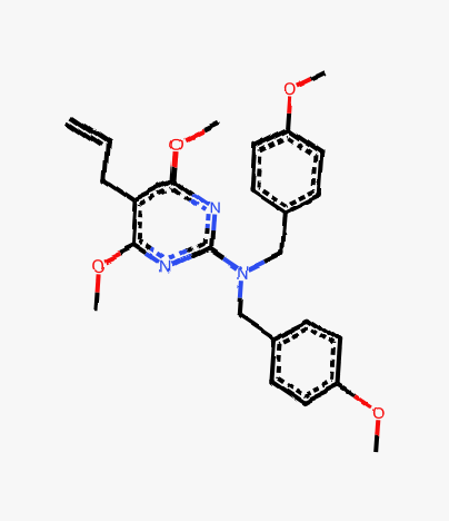 C=CCc1c(OC)nc(N(Cc2ccc(OC)cc2)Cc2ccc(OC)cc2)nc1OC